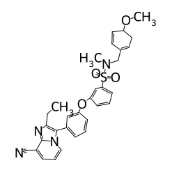 CCc1nc2c(C#N)cccn2c1-c1cccc(Oc2cccc(S(=O)(=O)N(C)CC3=CCC(OC)C=C3)c2)c1